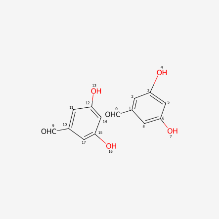 O=Cc1cc(O)cc(O)c1.O=Cc1cc(O)cc(O)c1